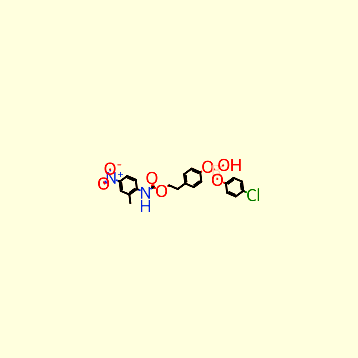 Cc1cc([N+](=O)[O-])ccc1NC(=O)OCCc1ccc(OB(O)Oc2ccc(Cl)cc2)cc1